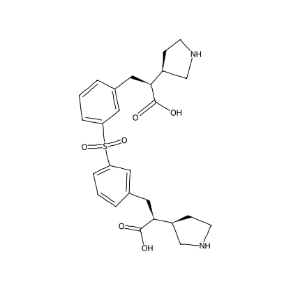 O=C(O)[C@@H](Cc1cccc(S(=O)(=O)c2cccc(C[C@H](C(=O)O)[C@H]3CCNC3)c2)c1)[C@H]1CCNC1